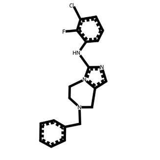 Fc1c(Cl)cccc1Nc1ncc2n1CCN(Cc1ccccc1)C2